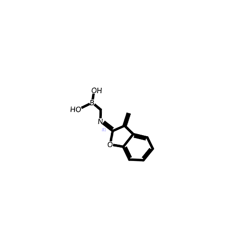 C=C1/C(=N\CB(O)O)Oc2ccccc21